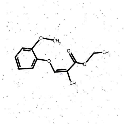 CCOC(=O)/C(C)=C\Oc1ccccc1OC